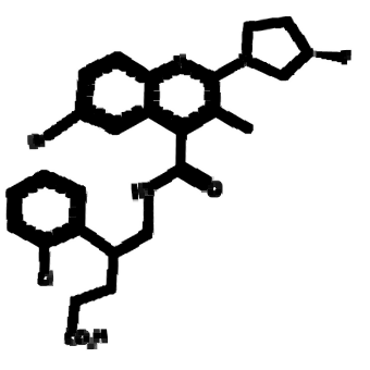 Cc1c(N2CC[C@H](F)C2)nc2ccc(Br)cc2c1C(=O)NCC(CCC(=O)O)c1ccccc1Cl